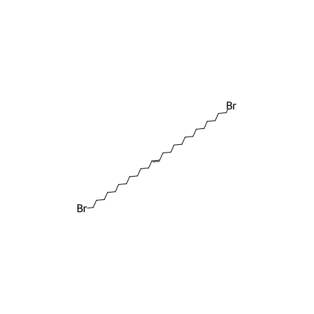 BrCCCCCCCCCCCC=CCCCCCCCCCCCCBr